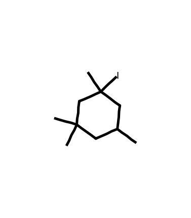 CC1CC(C)(C)CC(C)(I)C1